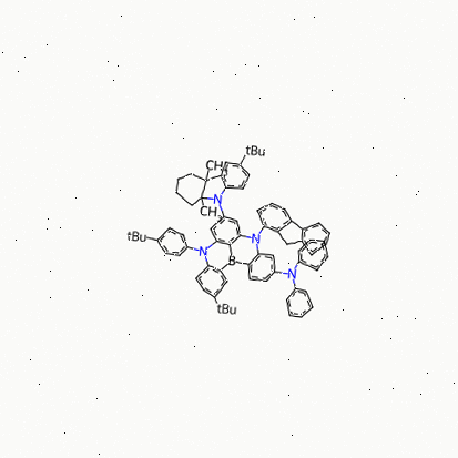 CC(C)(C)c1ccc(N2c3ccc(C(C)(C)C)cc3B3c4ccc(N(c5ccccc5)c5ccccc5)cc4N(c4cccc5c4Cc4ccccc4-5)c4cc(N5c6ccc(C(C)(C)C)cc6C6(C)CCCCC56C)cc2c43)cc1